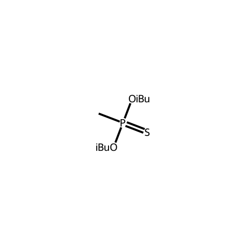 CC(C)COP(C)(=S)OCC(C)C